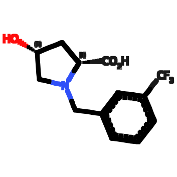 O=C(O)[C@H]1C[C@@H](O)CN1Cc1cccc(C(F)(F)F)c1